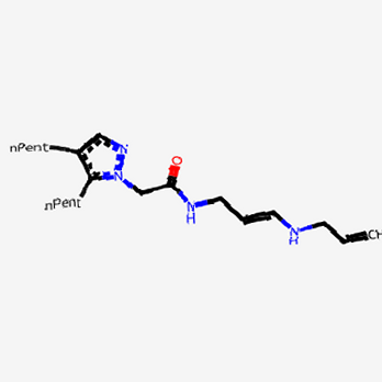 C=CCNC=CCNC(=O)Cn1ncc(CCCCC)c1CCCCC